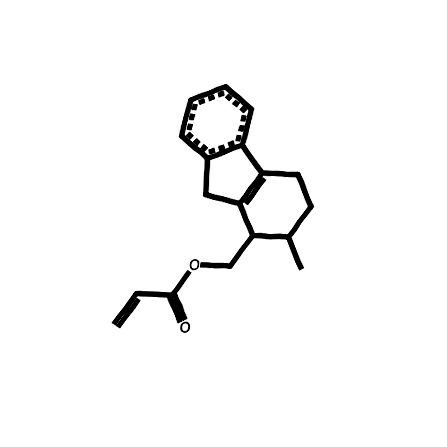 C=CC(=O)OCC1C2=C(CCC1C)c1ccccc1C2